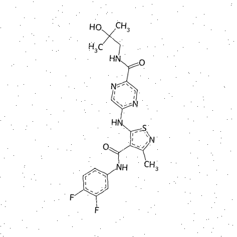 Cc1nsc(Nc2cnc(C(=O)NCC(C)(C)O)cn2)c1C(=O)Nc1ccc(F)c(F)c1